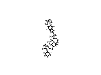 O=C(N[C@H]1CCC[C@H]2CC[C@@H](C(=O)N3C(=O)N(c4cccnc4)C(=O)C34CC4)N2C1=O)c1cc2cc([C@H](F)P(=O)(O)O)ccc2s1